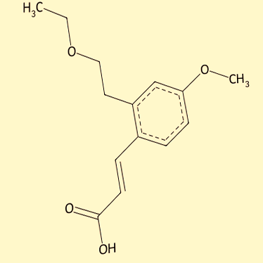 CCOCCc1cc(OC)ccc1C=CC(=O)O